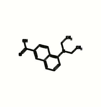 CCN(CC)c1cccc2cc(C(=O)O)ccc12